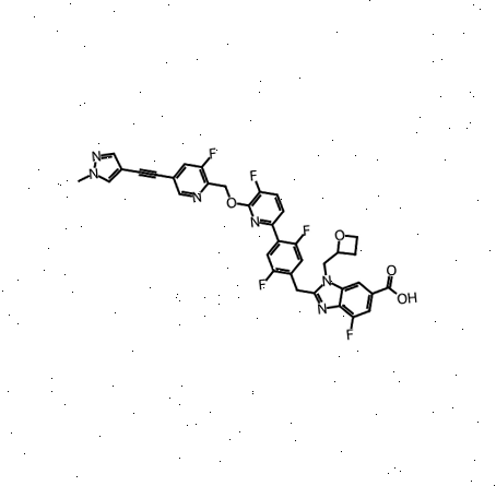 Cn1cc(C#Cc2cnc(COc3nc(-c4cc(F)c(Cc5nc6c(F)cc(C(=O)O)cc6n5CC5CCO5)cc4F)ccc3F)c(F)c2)cn1